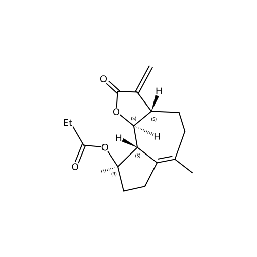 C=C1C(=O)O[C@H]2[C@H]1CCC(C)=C1CC[C@@](C)(OC(=O)CC)[C@@H]12